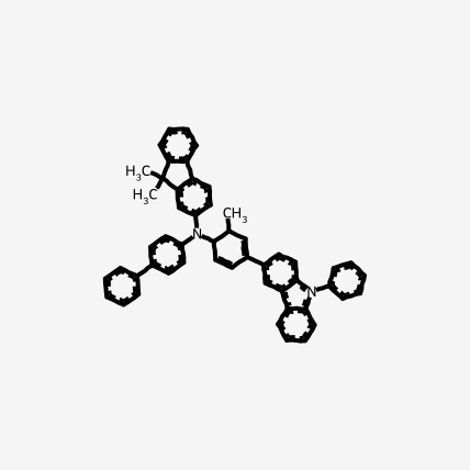 CC1C=C(c2ccc3c(c2)c2ccccc2n3-c2ccccc2)C=CC1N(c1ccc(-c2ccccc2)cc1)c1ccc2c(c1)C(C)(C)c1ccccc1-2